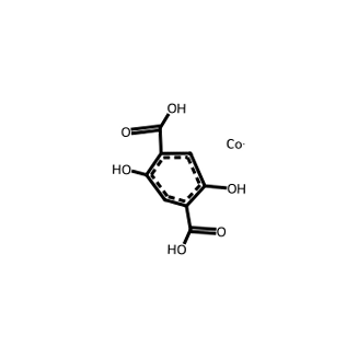 O=C(O)c1cc(O)c(C(=O)O)cc1O.[Co]